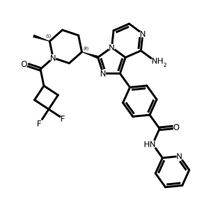 C[C@H]1CC[C@@H](c2nc(-c3ccc(C(=O)Nc4ccccn4)cc3)c3c(N)nccn23)CN1C(=O)C1CC(F)(F)C1